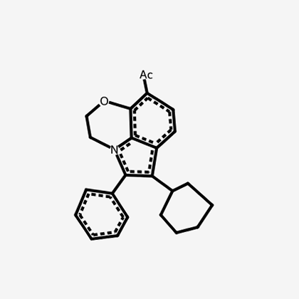 CC(=O)c1ccc2c(C3CCCCC3)c(-c3ccccc3)n3c2c1OCC3